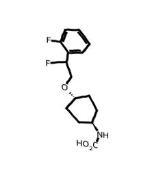 O=C(O)N[C@H]1CC[C@H](OCC(F)c2ccccc2F)CC1